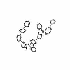 c1ccc(-c2ccc(-c3cccc(-c4ccnc(-n5c6ccccc6c6cc(-c7ccc8c(c7)c7ccccc7n8-c7cccc(-c8ccccc8)c7)ccc65)n4)c3)cc2)cc1